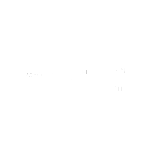 COc1ccc(O)c(C(C)(C)CCCC(C)CC#N)c1